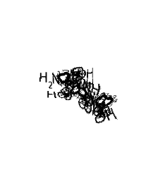 Nc1ccc(S(=O)(=O)O)c(N=Nc2c(S(=O)(=O)O)cc3cc(S(=O)(=O)O)c(N=Nc4ccc5cccc(S(=O)(=O)O)c5c4)c(N)c3c2O)c1